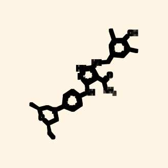 CC[C@@H]1CN(c2ccc(Nc3n[nH]c(NCc4cc(C)c(O)c(C)c4)c3C(N)=O)cc2)C[C@H](C)O1